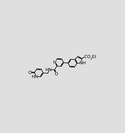 CCOC(=O)c1cc2cc(-c3ccnc(C(=O)NCc4ccc(=O)[nH]c4)c3)ccc2[nH]1